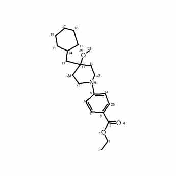 CCOC(=O)c1ccc(N2CCC(CC3CCCCC3)(OC)CC2)cc1